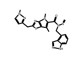 C=NN(Cc1cccc2[nH]ncc12)C(=O)c1c(C)c2sc(Cc3ccn(C)n3)nc2n1C